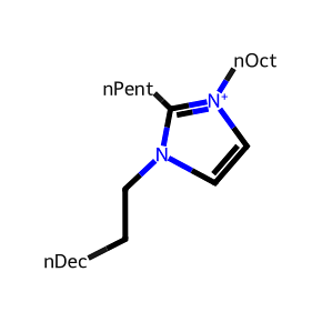 CCCCCCCCCCCCn1cc[n+](CCCCCCCC)c1CCCCC